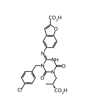 C[C@@H](Cn1c(=O)[nH]/c(=N\c2ccc3oc(C(=O)O)cc3c2)n(Cc2ccc(Cl)cc2)c1=O)C(=O)O